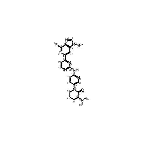 CC(C)n1cnc2c(F)nc(-c3ccnc(Nc4ccc(N5CCCC(N(C)C)C5=O)cn4)n3)cc21